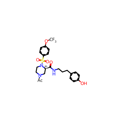 CC(=O)N1CCN(S(=O)(=O)c2ccc(OC(F)(F)F)cc2)[C@@H](C(=O)NCCCc2ccc(O)cc2)C1